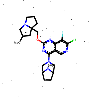 COC1CN2CCCC2(COc2nc(N3CC4CCC(C3)N4C(=O)O)c3cnc(Cl)c(F)c3n2)C1